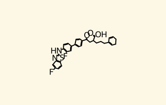 O=C(CC(CCCC1=CCCC=C1)C(=O)O)c1ccc(-c2ccc(Nc3nc4cc(F)ccc4s3)c(F)c2)cc1